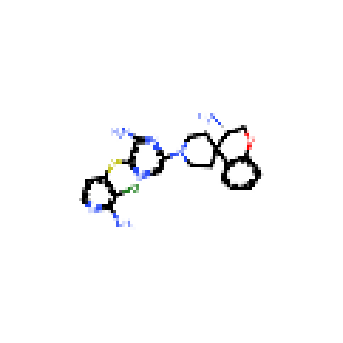 Nc1nc(N2CCC3(CC2)c2ccccc2OC[C@H]3N)cnc1Sc1ccnc(N)c1Cl